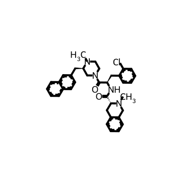 CN1CCN(C(=O)[C@@H](Cc2ccccc2Cl)NC(=O)[C@H]2Cc3ccccc3CN2C)C[C@H]1Cc1ccc2ccccc2c1